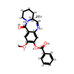 COc1cc2c(cc1OC(=O)c1ccccc1)N=C[C@@H]1CCCCN1C2=O